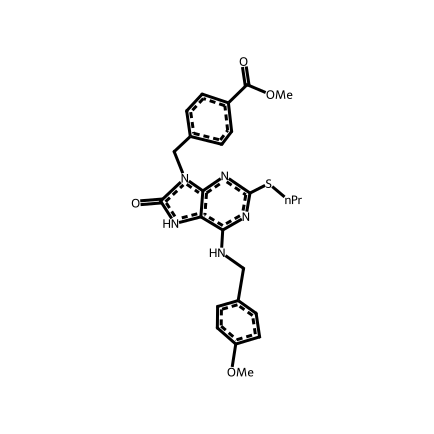 CCCSc1nc(NCc2ccc(OC)cc2)c2[nH]c(=O)n(Cc3ccc(C(=O)OC)cc3)c2n1